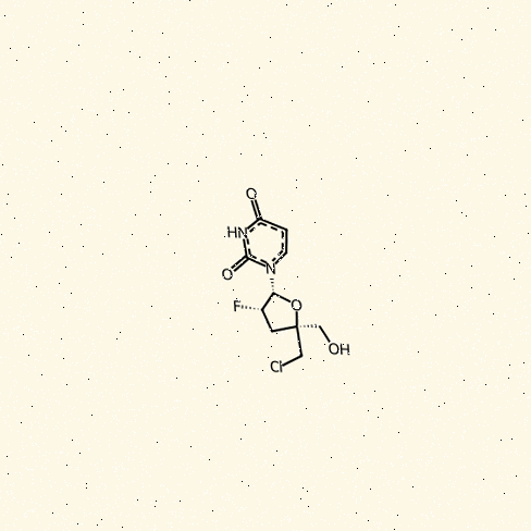 O=c1ccn([C@@H]2O[C@@](CO)(CCl)C[C@@H]2F)c(=O)[nH]1